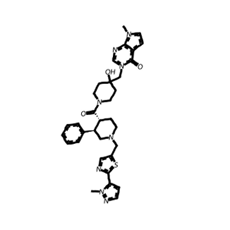 Cn1nccc1-c1ncc(CN2CC[C@@H](C(=O)N3CCC(O)(Cn4cnc5c(ccn5C)c4=O)CC3)[C@H](c3ccccc3)C2)s1